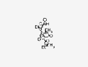 CCN(C)CC(=O)C[C@H]1CC(=O)CN(C)CC12OC(=O)CN2CCN(CC)CC(=O)NC1CCCC1